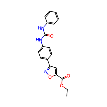 CCOC(=O)c1cc(-c2ccc(NC(=O)Nc3ccccc3)cc2)no1